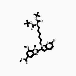 COC(=O)c1cc(OC)c2c(c1)nc(-c1cc3ccc(Br)nc3n1CCCCCCN(C(=O)OC(C)(C)C)C(=O)OC(C)(C)C)n2C